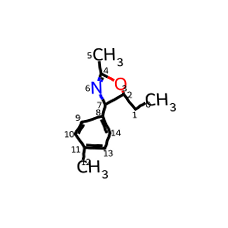 CCC1OC(C)=NC1c1ccc(C)cc1